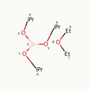 CC(C)OB(OC(C)C)OC(C)C.CCOCC